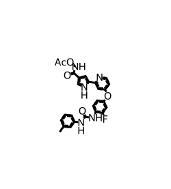 CC(=O)ONC(=O)c1c[nH]c(-c2cc(Oc3ccc(NC(=O)Nc4cccc(C)c4)c(F)c3)ccn2)c1